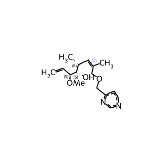 C=C[C@H](OC)[C@@H](O)[C@H](C)/C=C(/C)COCc1ccncn1